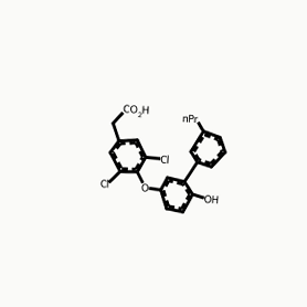 CCCc1cccc(-c2cc(Oc3c(Cl)cc(CC(=O)O)cc3Cl)ccc2O)c1